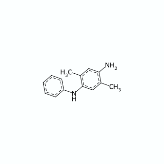 Cc1cc(Nc2ccccc2)c(C)cc1N